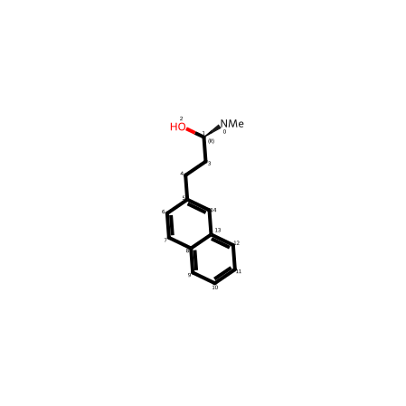 CN[C@H](O)CCc1ccc2ccccc2c1